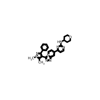 Cc1c(-c2nnc3cc(-c4ccnc(NC5CCOCC5)n4)ccn23)c(-c2ccccc2)nn1C